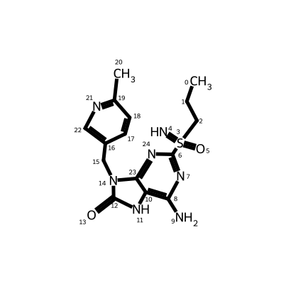 CCCS(=N)(=O)c1nc(N)c2[nH]c(=O)n(Cc3ccc(C)nc3)c2n1